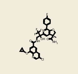 C[C@]1(C(N)=O)COc2c1cc(C(O)(CNC(=O)c1cc(OC3CC3)c3ncc(Cl)cc3c1)C(F)(F)F)nc2-c1ccc(F)cc1